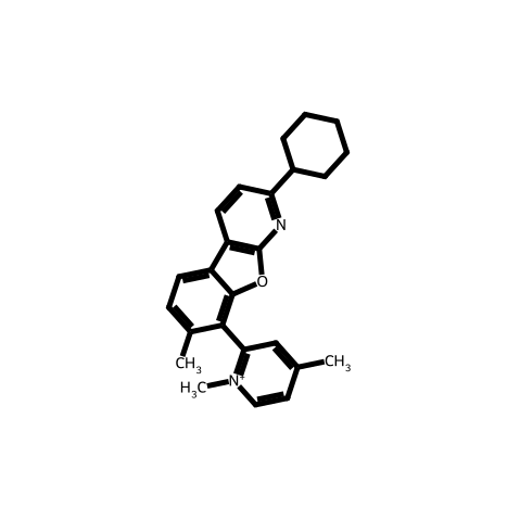 Cc1cc[n+](C)c(-c2c(C)ccc3c2oc2nc(C4CCCCC4)ccc23)c1